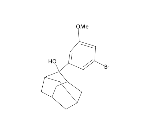 COc1cc(Br)cc(C2(O)C3CC4CC(C3)CC2C4)c1